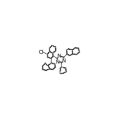 Clc1cc(-c2cccc3ccccc23)c(-c2nc(-c3ccccc3)nc(-c3ccc4ccccc4c3)n2)c2ccccc12